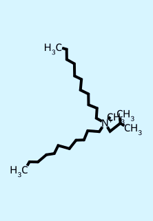 CCCCCCCCCCC[N+](C)(CCCCCCCCCCC)CC(C)C